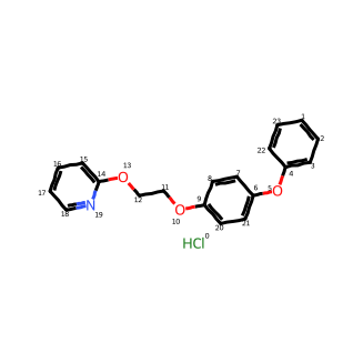 Cl.c1ccc(Oc2ccc(OCCOc3ccccn3)cc2)cc1